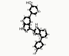 Oc1cncc(-c2cnc3[nH]nc(-c4nc5c(-c6ccc(F)cc6)ccnc5[nH]4)c3c2)c1